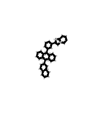 c1cc(-c2cn3ccccc3n2)cc(-c2c3ccccc3c(-c3ccc4ccccc4c3)c3ccccc23)c1